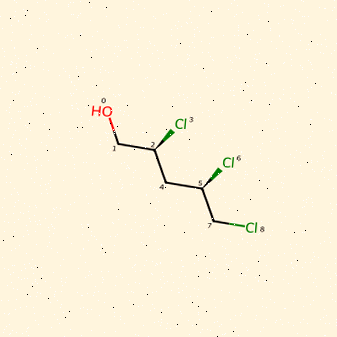 OC[C@@H](Cl)C[C@@H](Cl)CCl